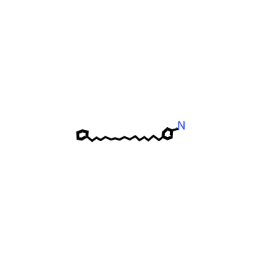 N#Cc1ccc(CCCCCCCCCCCCCCCc2ccccc2)cc1